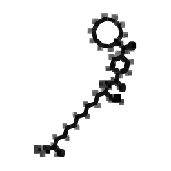 NC(=O)CCCCCCCCCC(N)NC(=O)c1ccc(C(=O)N2CCCCCCCCC2)cc1